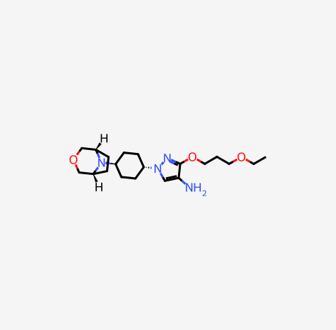 CCOCCCOc1nn([C@H]2CC[C@H](N3[C@@H]4CC[C@H]3COC4)CC2)cc1N